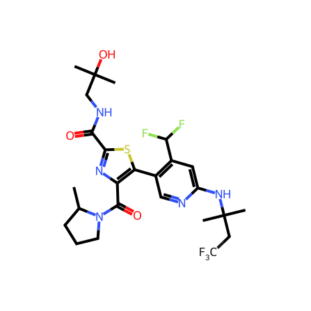 CC1CCCN1C(=O)c1nc(C(=O)NCC(C)(C)O)sc1-c1cnc(NC(C)(C)CC(F)(F)F)cc1C(F)F